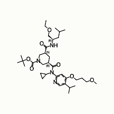 CCOC[C@@H](CC(C)C)NC(=O)[C@H]1C[C@@H](C(=O)N(c2cc(OCCCOC)c(C(C)C)cn2)C2CC2)CN(C(=O)OC(C)(C)C)C1